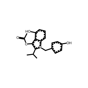 CC(=O)Oc1c(C(C)C)n(Cc2ccc(O)cc2)c2cccc(O)c12